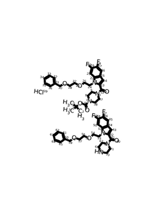 CC(C)(C)OC(=O)N1CCN(C(=O)c2cc3cc(F)c(F)cc3n2CCOCCOCc2ccccc2)CC1.Cl.O=C(c1cc2cc(F)c(F)cc2n1CCOCCOCc1ccccc1)N1CCNCC1